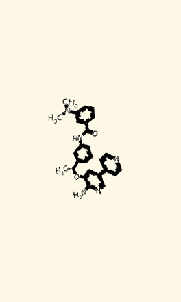 C[C@@H](Oc1cc(-c2ccncc2)cnc1N)c1cccc(NC(=O)c2cccc(N(C)C)c2)c1